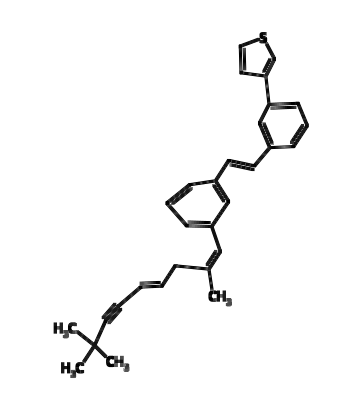 CC(=Cc1cccc(C=Cc2cccc(-c3ccsc3)c2)c1)CC=CC#CC(C)(C)C